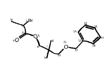 CC(Br)C(=O)OCC(C)(C)COCc1ccccc1